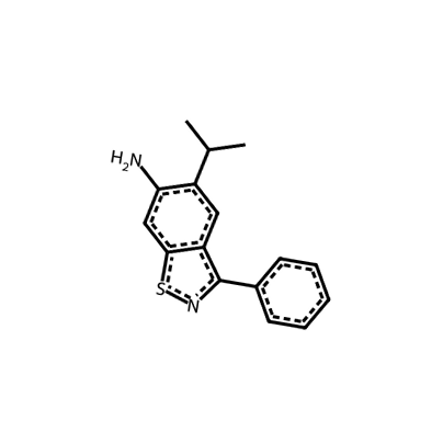 CC(C)c1cc2c(-c3ccccc3)nsc2cc1N